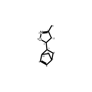 CC1=NOC(C2CC3C=CC2C3)C1